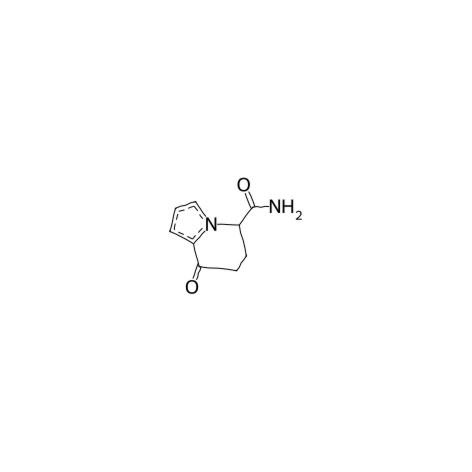 NC(=O)C1CCC(=O)c2cccn21